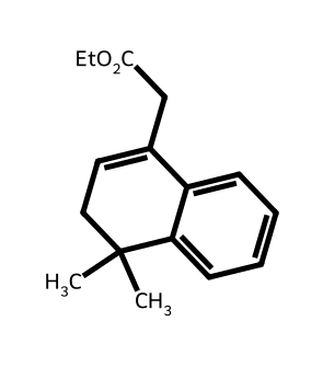 CCOC(=O)CC1=CCC(C)(C)c2ccccc21